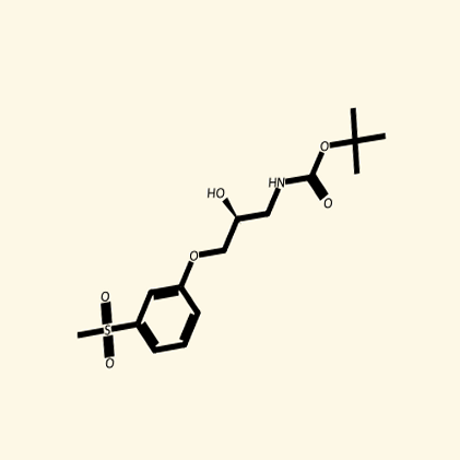 CC(C)(C)OC(=O)NC[C@H](O)COc1cccc(S(C)(=O)=O)c1